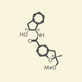 COC[C@@]1(C)Cc2cc(C(=O)N[C@@H]3c4ccccc4C[C@H]3O)ccc2O1